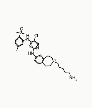 Cc1ccc(P(C)(C)=O)c(Nc2nc(Nc3ccc4c(c3)CC[C@@H](CCCCCN)CC4)ncc2Cl)c1